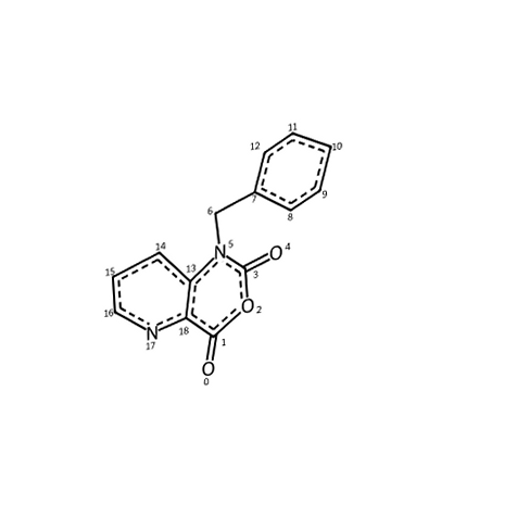 O=c1oc(=O)n(Cc2ccccc2)c2cccnc12